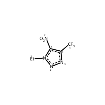 CCn1nnc(C(F)(F)F)c1[N+](=O)[O-]